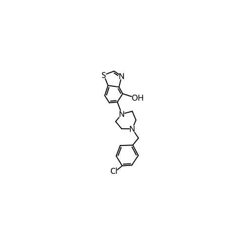 Oc1c(N2CCN(Cc3ccc(Cl)cc3)CC2)ccc2scnc12